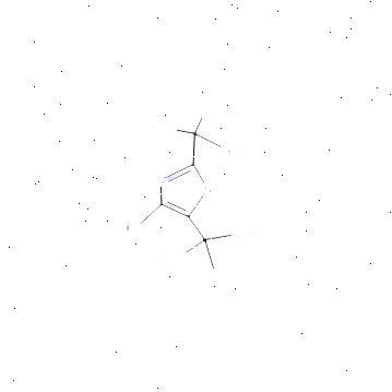 CCCCCC(C)(C)c1nc(C(C)C)c(C(C)(C)CCCCC)[nH]1